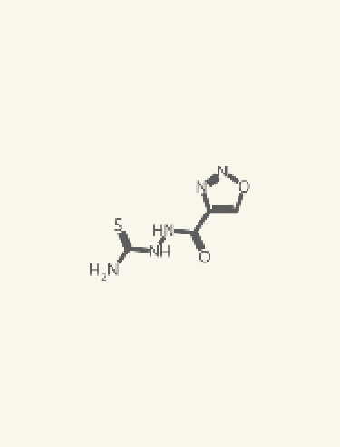 NC(=S)NNC(=O)c1conn1